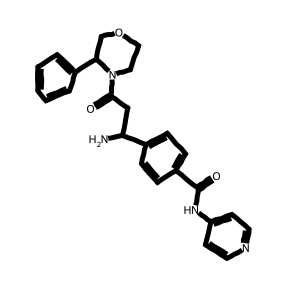 NC(CC(=O)N1CCOCC1c1ccccc1)c1ccc(C(=O)Nc2ccncc2)cc1